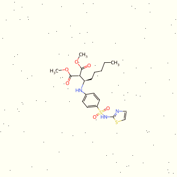 CCCCC[C@@H](Nc1ccc(S(=O)(=O)Nc2nccs2)cc1)C(C(=O)OC)C(=O)OC